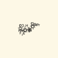 CC(C)Oc1ccc(-c2noc(-c3ccc(N[C@H]4CC[C@@H](C(=O)O)C4)c(C(F)(F)F)c3)n2)cc1Cl